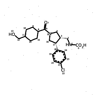 O=C(O)NC[C@H]1CN(C(=O)C2CCC(CO)CC2)C[C@H]1c1ccc(Cl)cc1